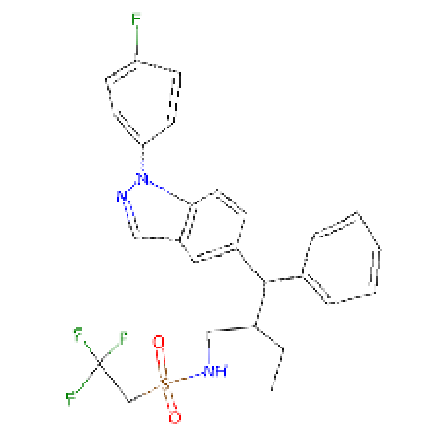 CCC(CNS(=O)(=O)CC(F)(F)F)C(c1ccccc1)c1ccc2c(cnn2-c2ccc(F)cc2)c1